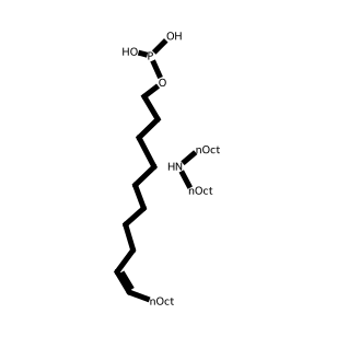 CCCCCCCC/C=C\CCCCCCCCOP(O)O.CCCCCCCCNCCCCCCCC